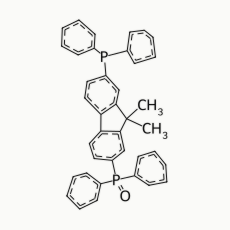 CC1(C)c2cc(P(c3ccccc3)c3ccccc3)ccc2-c2ccc(P(=O)(c3ccccc3)c3ccccc3)cc21